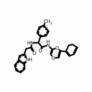 Cc1ccc(C(NC(=O)Cc2cc3ccccc3[nH]2)C(=O)NC2=COC=C(C3=CC=CCC3)O2)cc1